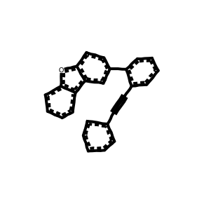 C(#Cc1ccccc1-c1ccc2oc3ccccc3c2c1)c1ccccc1